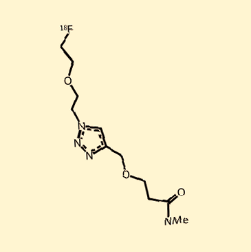 CNC(=O)CCOCc1cn(CCOCC[18F])nn1